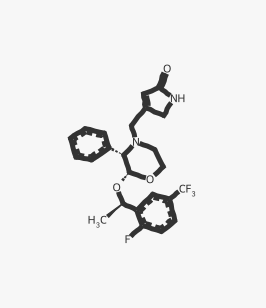 C[C@@H](O[C@H]1OCCN(CC2=CC(=O)NC2)[C@H]1c1ccccc1)c1cc(C(F)(F)F)ccc1F